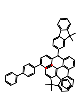 CC1(C)c2ccccc2-c2ccc(N(c3ccc(-c4ccc(-c5ccccc5)cc4)cc3)c3cccc(-c4ccccc4)c3-c3cccc4c3-c3ccccc3C4(C)C)cc21